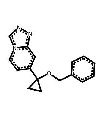 c1ccc(COC2(c3ccn4cnnc4c3)CC2)cc1